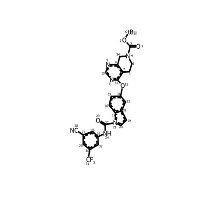 CC(C)(C)OC(=O)N1CCc2c(ncnc2Oc2ccc3c(ccn3C(=O)Nc3cc(C#N)cc(C(F)(F)F)c3)c2)C1